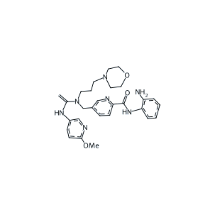 C=C(Nc1ccc(OC)nc1)N(CCCN1CCOCC1)Cc1ccc(C(=O)Nc2ccccc2N)nc1